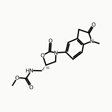 COC(=O)NC[C@H]1CN(c2ccc3c(c2)CC(=O)N3C)C(=O)O1